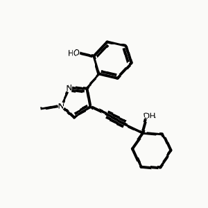 Cn1cc(C#CC2(O)CCCCC2)c(-c2ccccc2O)n1